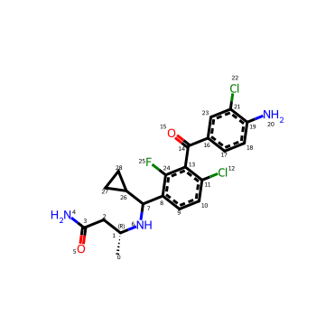 C[C@H](CC(N)=O)NC(c1ccc(Cl)c(C(=O)c2ccc(N)c(Cl)c2)c1F)C1CC1